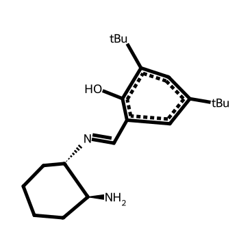 CC(C)(C)c1cc(/C=N/[C@H]2CCCC[C@@H]2N)c(O)c(C(C)(C)C)c1